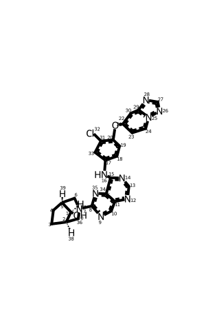 O[C@H]1[C@@H]2CC[C@H]1CN(c1ncc3ncnc(Nc4ccc(Oc5ccn6ncnc6c5)c(Cl)c4)c3n1)C2